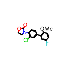 COc1ccc(F)cc1-c1ccc(N2CCOC2=O)c(Cl)c1